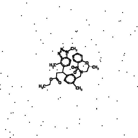 CCOC(=O)CC(c1ccc(C)c(CN2C[C@@H](C)Oc3ccccc3S2(=O)=O)c1)c1ccc2c(nnn2C)c1C